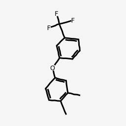 Cc1ccc(Oc2cccc(C(F)(F)F)c2)cc1C